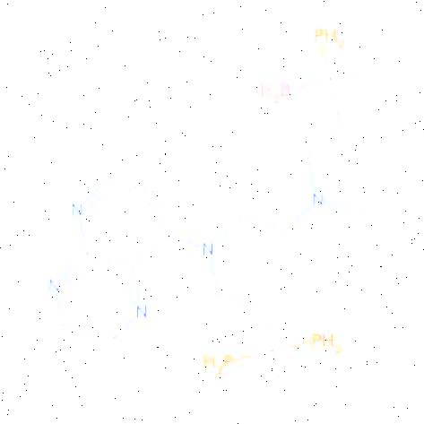 BC(C)(P)CCN(C)C1CC(C(C)(P)P)CN(c2ccnc3nccnc23)C1